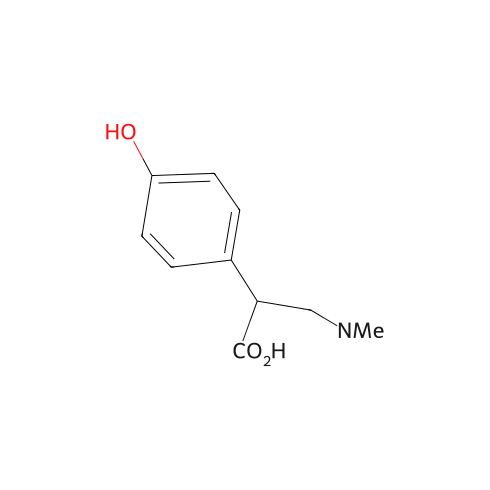 CNCC(C(=O)O)c1ccc(O)cc1